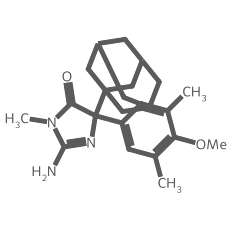 COc1c(C)cc(C2(C34CC5CC(CC(C5)C3)C4)N=C(N)N(C)C2=O)cc1C